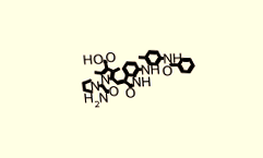 Cc1ccc(NC(=O)c2ccccc2)cc1Nc1cccc2c1NC(=O)C2=Cc1c(C)c(C(=O)O)c(C)n1C(C(N)=O)N1CCCC1